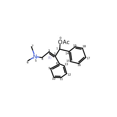 CC(=O)OC(/C(=C/CN(C)C)c1ccccc1)c1ccccc1